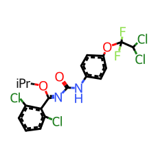 CC(C)O/C(=N\C(=O)Nc1ccc(OC(F)(F)C(Cl)Cl)cc1)c1c(Cl)cccc1Cl